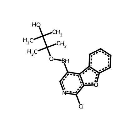 CC(C)(O)C(C)(C)OBc1cnc(Cl)c2oc3ccccc3c12